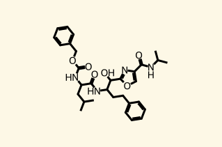 CC(C)CC(NC(=O)OCc1ccccc1)C(=O)NC(CCc1ccccc1)C(O)c1nc(C(=O)NC(C)C)co1